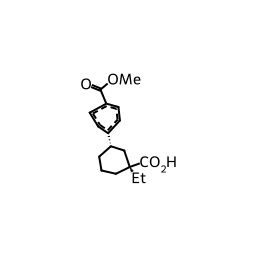 CC[C@@]1(C(=O)O)CCC[C@H](c2ccc(C(=O)OC)cc2)C1